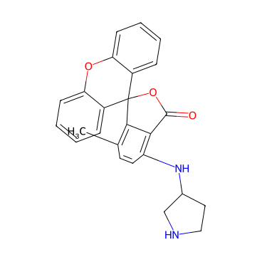 Cc1ccc(NC2CCNC2)c2c1C1(OC2=O)c2ccccc2Oc2ccccc21